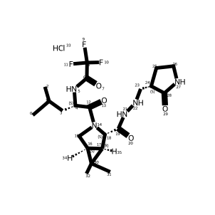 CC(C)C[C@H](NC(=O)C(F)(F)F)C(=O)N1C[C@H]2[C@@H]([C@H]1C(=O)NNC[C@@H]1CCNC1=O)C2(C)C.Cl